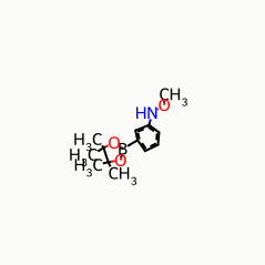 CONc1cccc(B2OC(C)(C)C(C)(C)O2)c1